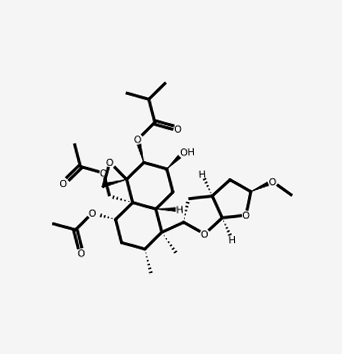 CO[C@@H]1C[C@@H]2C[C@@H]([C@@]3(C)[C@H](C)C[C@H](OC(C)=O)[C@]4(COC(C)=O)[C@@H]3C[C@H](O)[C@H](OC(=O)C(C)C)[C@]43CO3)O[C@@H]2O1